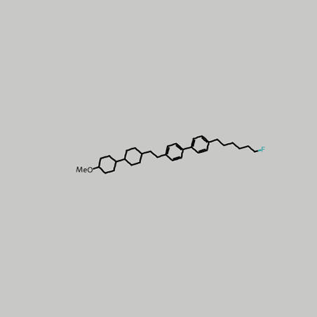 COC1CCC(C2CCC(CCc3ccc(-c4ccc(CCCCCCF)cc4)cc3)CC2)CC1